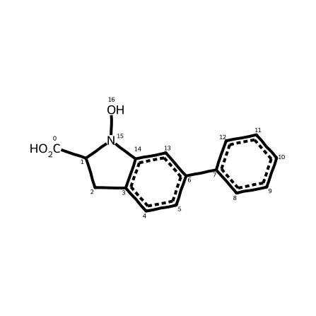 O=C(O)C1Cc2ccc(-c3ccccc3)cc2N1O